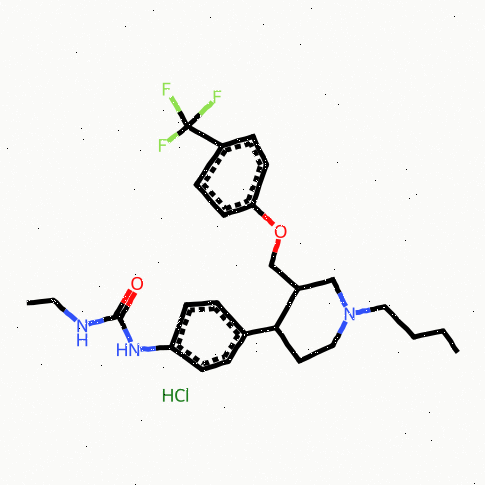 CCCCN1CCC(c2ccc(NC(=O)NCC)cc2)C(COc2ccc(C(F)(F)F)cc2)C1.Cl